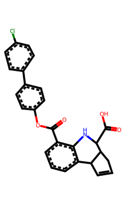 O=C(Oc1ccc(-c2ccc(Cl)cc2)cc1)c1cccc2c1NC(C(=O)O)C1CC=CC21